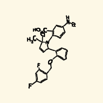 CCNc1ccc(N2C(c3ccccc3OCc3ccc(F)cc3F)C=CC2(C)Cl)c(C(=O)O)c1